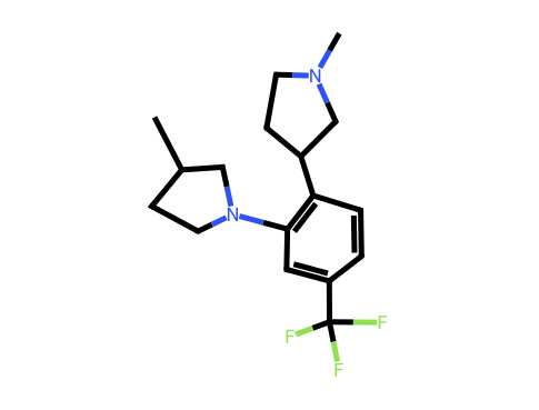 CC1CCN(c2cc(C(F)(F)F)ccc2C2CCN(C)C2)C1